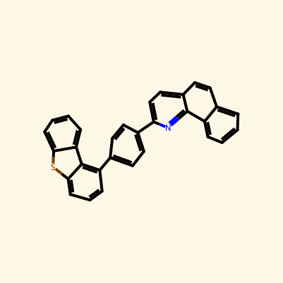 c1ccc2c(c1)ccc1ccc(-c3ccc(-c4cccc5sc6ccccc6c45)cc3)nc12